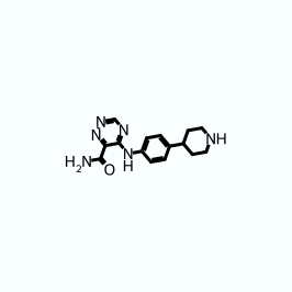 NC(=O)c1nncnc1Nc1ccc(C2CCNCC2)cc1